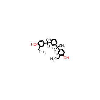 CCc1cc(C(C)(C)c2cccc(C(C)(C)c3ccc(O)c(CC)c3)c2)ccc1O